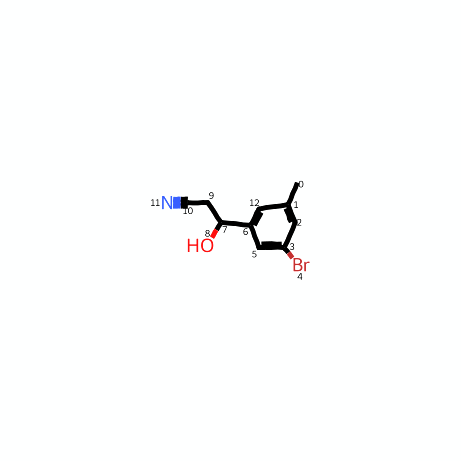 Cc1cc(Br)cc(C(O)CC#N)c1